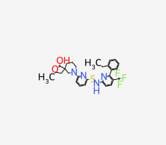 CCCC1(C(=O)O)CCCN(c2cccc(SNc3ccc(C(F)(F)F)c(-c4ccccc4CC)n3)n2)C1